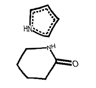 O=C1CCCCN1.c1cc[nH]c1